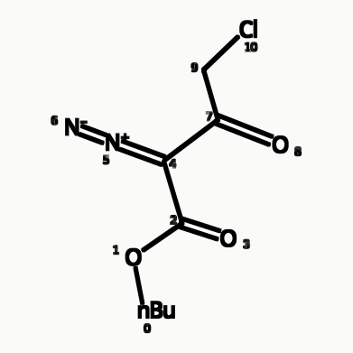 CCCCOC(=O)C(=[N+]=[N-])C(=O)CCl